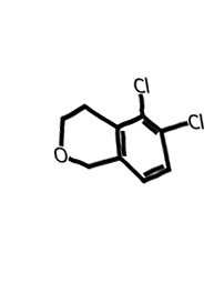 Clc1ccc2c(c1Cl)CCOC2